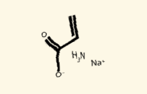 C=CC(=O)[O-].N.[Na+]